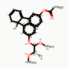 CCCCCCCC(=O)Oc1cccc(C2=CC=CCC2(F)c2cccc(OC(OCCCCC)[C@H](CC)OCCCCC)c2)c1